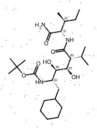 CC[C@H](C)[C@H](NC(=O)[C@H](C(C)C)[C@@H](O)[C@H](O)[C@H](CC1CCCCC1)NC(=O)OC(C)(C)C)C(N)=O